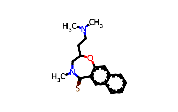 CN(C)CCC1CN(C)C(=S)c2cc3ccccc3cc2O1